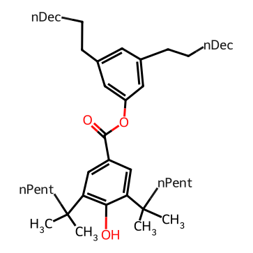 CCCCCCCCCCCCc1cc(CCCCCCCCCCCC)cc(OC(=O)c2cc(C(C)(C)CCCCC)c(O)c(C(C)(C)CCCCC)c2)c1